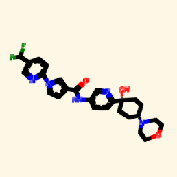 O=C(Nc1ccc([C@]2(O)CC[C@@H](N3CCOCC3)CC2)nc1)c1ccn(-c2ccc(C(F)F)cn2)c1